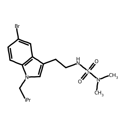 CC(C)Cn1cc(CCNS(=O)(=O)N(C)C)c2cc(Br)ccc21